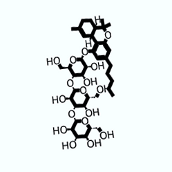 CCCCCc1cc(O[C@@H]2O[C@H](CO)[C@@H](O[C@@H]3O[C@H](CO)[C@@H](O)[C@H](O[C@@H]4O[C@H](CO)[C@@H](O)[C@H](O)[C@H]4O)[C@H]3O)[C@H](O)[C@H]2O)c2c(c1)OC(C)(C)[C@@H]1CCC(C)=C[C@@H]21